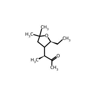 CC[C@@H]1OC(C)(C)CC1[C@H](C)C(C)=O